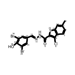 Cc1ccc2c(Cl)c(C(=O)NN=Cc3cc(Br)c(O)c(Br)c3)sc2c1